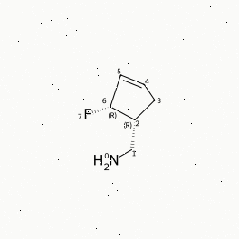 NC[C@H]1CC=C[C@H]1F